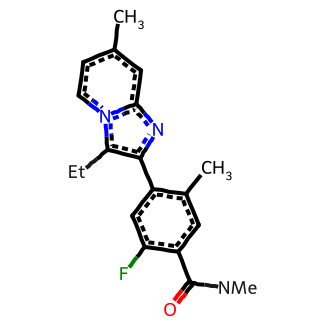 CCc1c(-c2cc(F)c(C(=O)NC)cc2C)nc2cc(C)ccn12